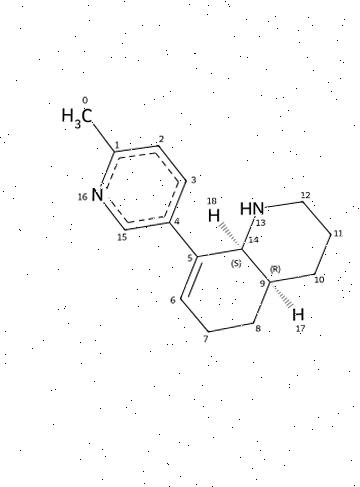 Cc1ccc(C2=CCC[C@@H]3CCCN[C@H]23)cn1